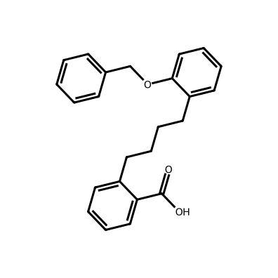 O=C(O)c1ccccc1CCCCc1ccccc1OCc1ccccc1